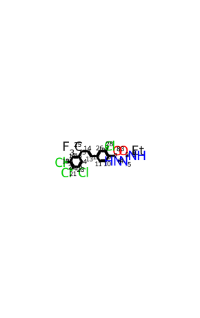 CCNC(=O)N(C)NC(=O)c1ccc(/C=C/C(c2cc(Cl)c(Cl)c(Cl)c2)C(F)(F)F)cc1Cl